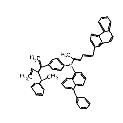 C=CC(C(=C)c1ccc(N(/C(C)=C/C=C/c2ccc3c(ccc4ccccc43)c2)c2cccc3c(-c4ccccc4)cccc23)cc1)C(C)c1ccccc1